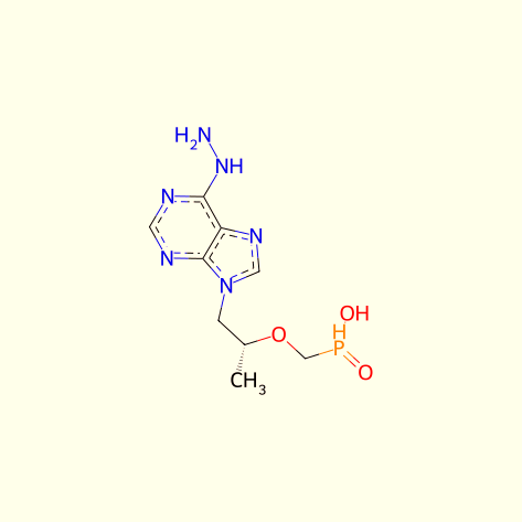 C[C@H](Cn1cnc2c(NN)ncnc21)OC[PH](=O)O